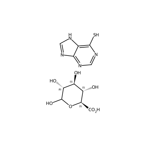 O=C(O)[C@H]1OC(O)[C@H](O)[C@@H](O)[C@@H]1O.Sc1ncnc2nc[nH]c12